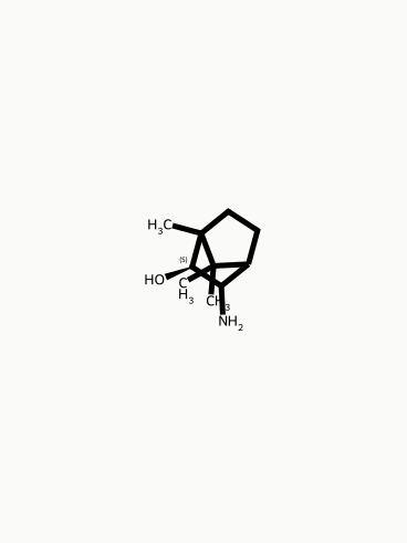 CC1(C)C2CCC1(C)[C@H](O)C2N